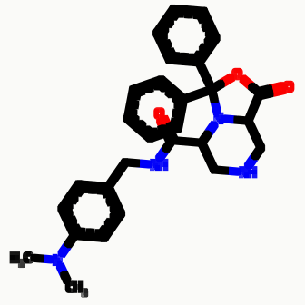 CN(C)c1ccc(CNC(=O)C2CNCC3C(=O)OC(c4ccccc4)(c4ccccc4)N23)cc1